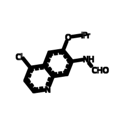 CC(C)Oc1cc2c(Cl)ccnc2cc1NC=O